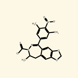 Cc1cc(C2=NN(C(=S)Cl)C(C)Cc3cc4c(cc32)OCO4)cc(C)c1[N+](=O)[O-]